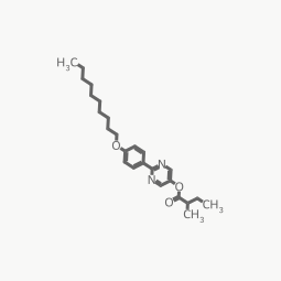 CCCCCCCCCCOc1ccc(-c2ncc(OC(=O)C(C)CC)cn2)cc1